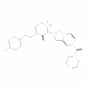 O=C1C(CCC2CCC(Cl)CC2)CC[N+]([O-])(C(=O)O)C1N1CC2=CN(C(=O)N3CCOCC3)C=CN2C1